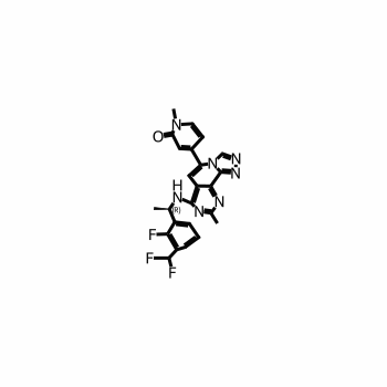 Cc1nc(N[C@H](C)c2cccc(C(F)F)c2F)c2cc(-c3ccn(C)c(=O)c3)n3cnnc3c2n1